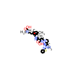 Cc1c(Nc2nc3ccccc3s2)nnc2c1CCCN2c1ccc(-c2cnn(CC34CC5(C)CC(C)(CC(CCCN(C)CC(=O)O)(C5)C3)C4)c2C)c(C(=O)O)n1